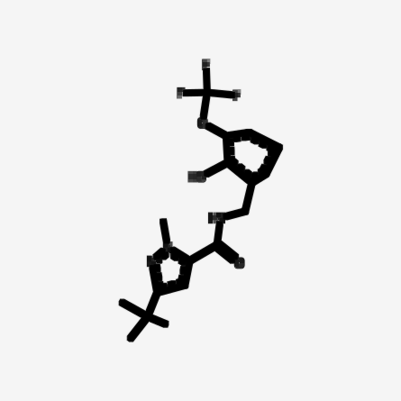 Cn1nc(C(C)(C)C)cc1C(=O)NCc1cccc(OC(F)(F)F)c1O